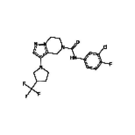 O=C(Nc1ccc(F)c(Cl)c1)N1CCn2ncc(N3CCC(C(F)(F)F)C3)c2C1